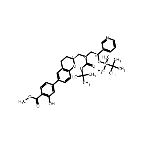 COC(=O)c1ccc(-c2ccc3c(c2)CC[C@@H](CN(C[C@H](O[Si](C)(C)C(C)(C)C)c2cccnc2)C(=O)OC(C)(C)C)O3)cc1O